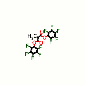 CC(C(=O)Oc1c(F)c(F)c(F)c(F)c1F)C(=O)Oc1c(F)c(F)c(F)c(F)c1F